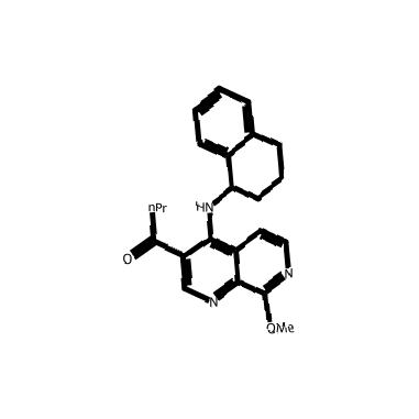 CCCC(=O)c1cnc2c(OC)nccc2c1NC1CCCc2ccccc21